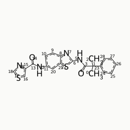 CC(C)(C(=O)Nc1nc2ccc(NC(=O)c3cscn3)cc2s1)c1ccccc1